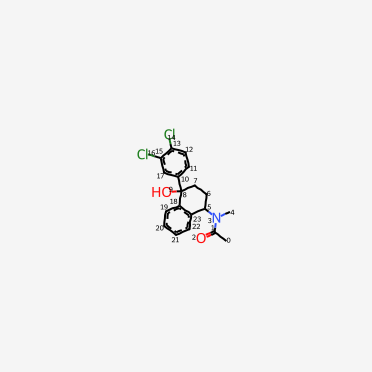 CC(=O)N(C)C1CCC(O)(c2ccc(Cl)c(Cl)c2)c2ccccc21